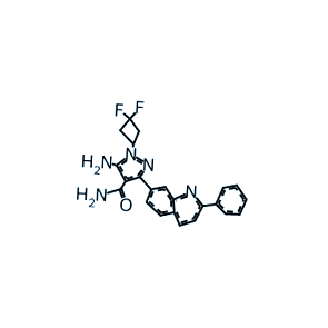 NC(=O)c1c(-c2ccc3ccc(-c4ccccc4)nc3c2)nn(C2CC(F)(F)C2)c1N